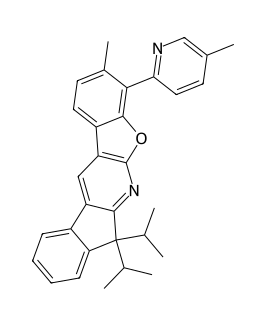 Cc1ccc(-c2c(C)ccc3c2oc2nc4c(cc23)-c2ccccc2C4(C(C)C)C(C)C)nc1